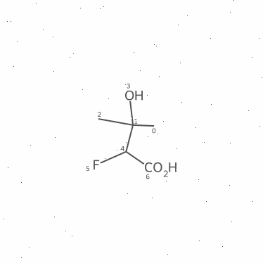 CC(C)(O)C(F)C(=O)O